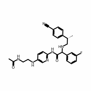 CC(=O)NCCNc1ccc(NC(=O)C(NC[C@@H](C)c2ccc(C#N)cc2)c2cccc(F)c2)nc1